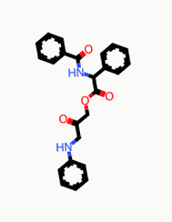 O=C(CNc1ccccc1)COC(=O)C(NC(=O)c1ccccc1)c1ccccc1